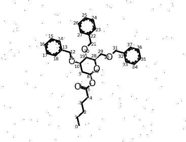 CCCCCC(=O)O[C@H]1C[C@@H](OCc2ccccc2)[C@H](OCc2ccccc2)[C@@H](COCc2ccccc2)O1